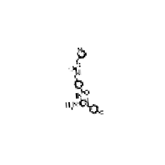 Nc1cn(-c2ccc(F)cc2)nc1NC(=O)c1ccc(CNC(=O)OCc2cccnc2)cc1